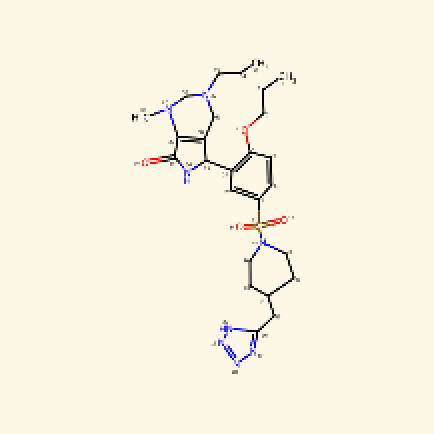 CCCOc1ccc(S(=O)(=O)N2CCC(Cc3nnn[nH]3)CC2)cc1C1NC(=O)C2=C1CN(CCC)CN2C